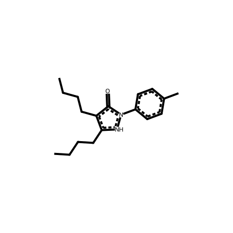 CCCCc1[nH]n(-c2ccc(C)cc2)c(=O)c1CCCC